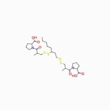 CCCCCC(CCSSCC(C)C(=O)N1CCCC1C(=O)O)SSCC(C)C(=O)N1CCCC1C(=O)O